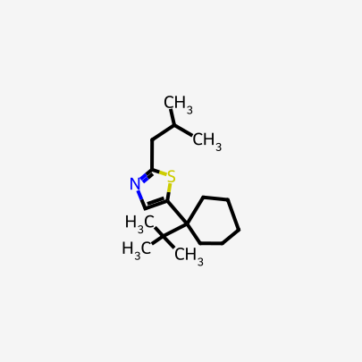 CC(C)Cc1ncc(C2(C(C)(C)C)CCCCC2)s1